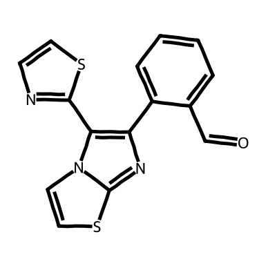 O=Cc1ccccc1-c1nc2sccn2c1-c1nccs1